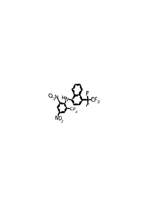 O=[N+]([O-])c1cc([N+](=O)[O-])c(Nc2ccc(C(F)(F)C(F)(F)F)c3ccccc23)c(C(F)(F)F)c1